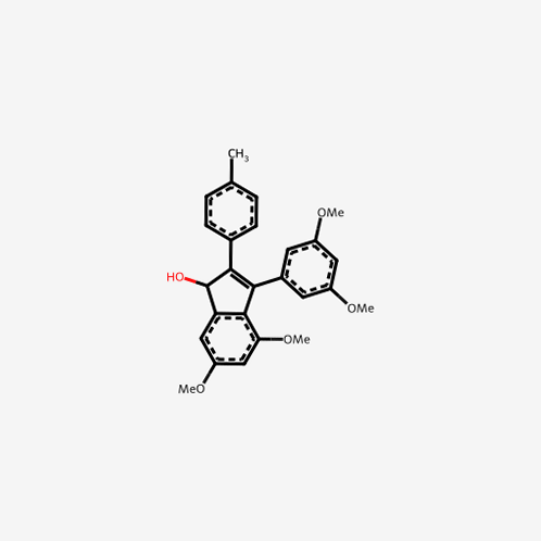 COc1cc(OC)cc(C2=C(c3ccc(C)cc3)C(O)c3cc(OC)cc(OC)c32)c1